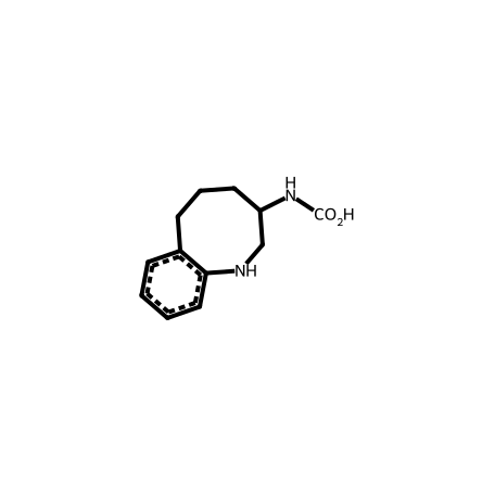 O=C(O)NC1CCCc2ccccc2NC1